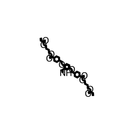 C=CC(=O)OCCCCOC(=O)C1CCC(COc2ccc(OCC3CCC(C(=O)OCCCCOC(=O)C=C)CC3)c(C=N)c2)CC1